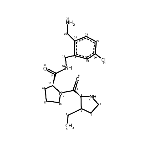 CCC1CCN[C@@H]1C(=O)N1CCC[C@H]1C(=O)NCc1cc(Cl)ccc1CN